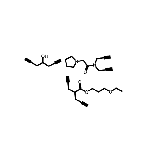 C#CCC(CC#C)C(=O)OCCCOCC.C#CCC(O)CC#C.C#CCN(CC#C)C(=O)CN1CCCC1